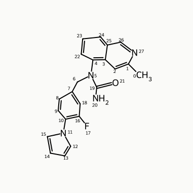 Cc1cc2c(N(Cc3ccc(-n4cccc4)c(F)c3)C(N)=O)cccc2cn1